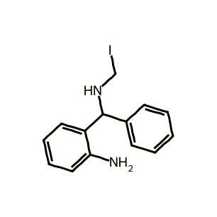 Nc1ccccc1C(NCI)c1ccccc1